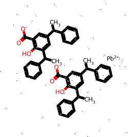 CC(c1ccccc1)c1cc(C(=O)[O-])c(O)c(C(C)c2ccccc2)c1.CC(c1ccccc1)c1cc(C(=O)[O-])c(O)c(C(C)c2ccccc2)c1.[Pb+2]